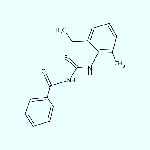 CCc1cccc(C)c1NC(=S)NC(=O)c1ccccc1